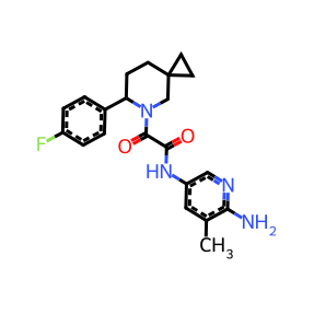 Cc1cc(NC(=O)C(=O)N2CC3(CCC2c2ccc(F)cc2)CC3)cnc1N